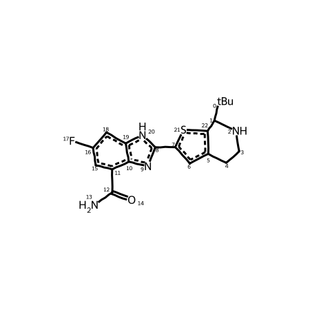 CC(C)(C)C1NCCc2cc(-c3nc4c(C(N)=O)cc(F)cc4[nH]3)sc21